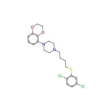 Clc1ccc(Cl)c(SCCCCN2CCN(c3cccc4c3OCCO4)CC2)c1